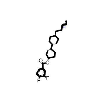 C/C=C/CC[C@H]1CC[C@H]([C@H]2CC[C@H](OC(=O)c3ccc(F)c(F)c3)CC2)CC1